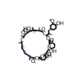 CO[C@H]1C[C@@H]2CC[C@@H](C)[C@@](O)(O2)C(=O)C(O)N2CCCC[C@H]2C(=O)O[C@H]([C@H](C)C[C@@H]2CC[C@@H](O)[C@H](OC)C2)CC(=O)[C@H](C)/C=C(\C)[C@@H](O)[C@@H](OC)C(=O)[C@H](C)C[C@H](C)/C=C/C=C/C=C/1C